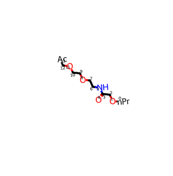 CCCOCC(=O)NCCOCCOCC(C)=O